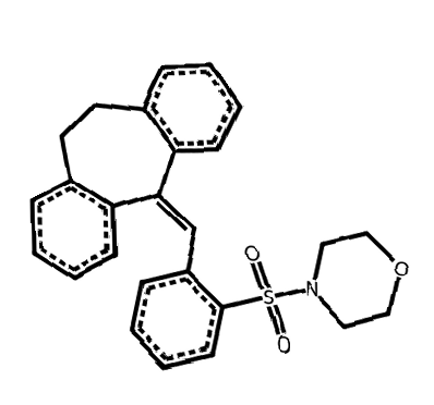 O=S(=O)(c1ccccc1C=C1c2ccccc2CCc2ccccc21)N1CCOCC1